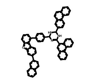 c1ccc2cc(-c3ccc4c(c3)oc3cccc(-c5ccc(C6N=C(c7cc8ccccc8c8ccccc78)NC(c7ccc8c(ccc9ccccc98)c7)N6)cc5)c34)ccc2c1